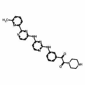 Cc1cccc(-c2nccc(Nc3ccnc(Nc4cccc(C(=O)C(=O)N5CCNCC5)c4)n3)n2)n1